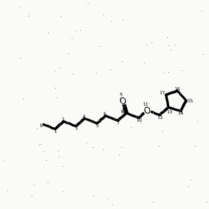 CCCCCCCCC(=O)COCC1CCCC1